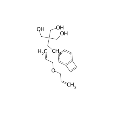 C1=Cc2ccccc21.C=CCOCC=C.CCC(CO)(CO)CO